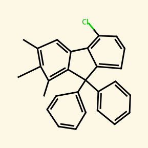 Cc1cc2c(c(C)c1C)C(c1ccccc1)(c1ccccc1)c1cccc(Cl)c1-2